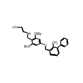 COc1cc(OCc2cccc(-c3ccccc3)c2C)cc(OC)c1CNCCO